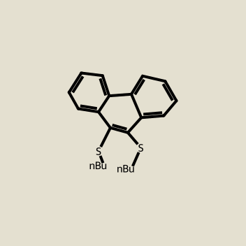 CCCCSc1c(SCCCC)c2ccccc2c2ccccc12